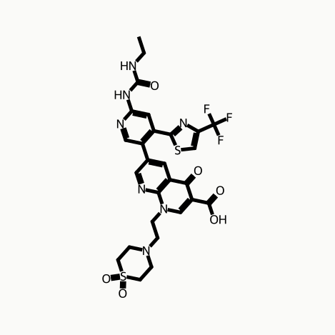 CCNC(=O)Nc1cc(-c2nc(C(F)(F)F)cs2)c(-c2cnc3c(c2)c(=O)c(C(=O)O)cn3CCN2CCS(=O)(=O)CC2)cn1